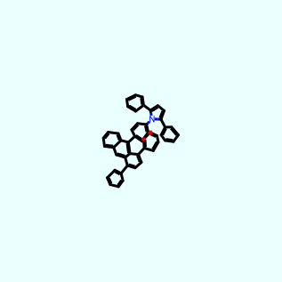 c1ccc(-c2ccc(-c3ccccc3)c3c(-c4ccc(-n5c(-c6ccccc6)ccc5-c5ccccc5)cc4)c4ccccc4cc23)cc1